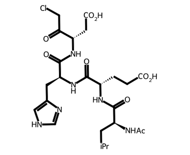 CC(=O)N[C@@H](CC(C)C)C(=O)N[C@@H](CCC(=O)O)C(=O)N[C@@H](Cc1c[nH]cn1)C(=O)N[C@@H](CC(=O)O)C(=O)CCl